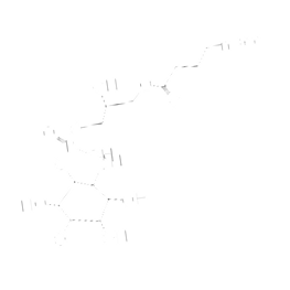 CCCCCCCCCCCCCC(=O)OCC(O)COP(=O)(O)OC1C(O)C(O)C(O)C(O)C1O